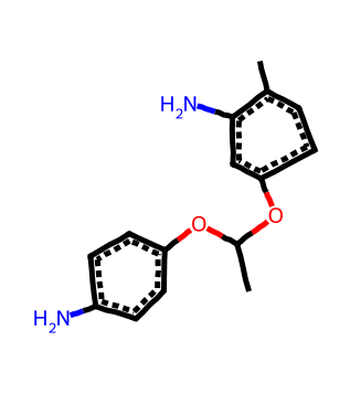 Cc1ccc(OC(C)Oc2ccc(N)cc2)cc1N